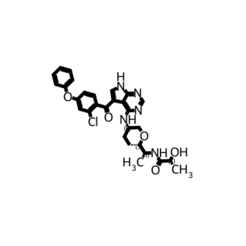 C[C@H](O)C(=O)N[C@@H](C)[C@@H]1CC[C@@H](Nc2ncnc3[nH]cc(C(=O)c4ccc(Oc5ccccc5)cc4Cl)c23)CO1